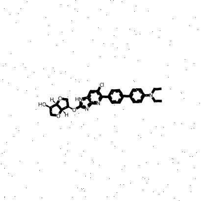 CCN(CC)c1ccc(-c2ccc(-c3nc4nc(O[C@@H]5CO[C@H]6[C@@H]5OC[C@H]6O)[nH]c4cc3Cl)cc2)cc1